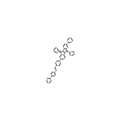 C(=C\c1ccc(-c2ccc3c(c2)n(-c2ccccc2)c2c4ccc(-c5ccccc5)cc4n(-c4ccccc4)c32)cc1)/c1ccc(-c2ccccc2)cc1